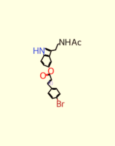 CC(=O)NCCc1c[nH]c2ccc(OC(=O)/C=C/c3ccc(Br)cc3)cc12